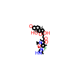 COc1c(N2CCNC(C)C2)c(F)c(C)c2c(=O)c(C(=O)CCC(=O)[C@@]3(O)CC[C@H]4[C@@H]5CCC6=CC(=O)CC[C@]6(C)[C@H]5[C@@H](O)C[C@@]43C)c(C)n(C3CC3)c12